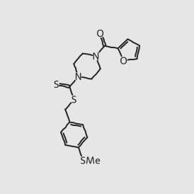 CSc1ccc(CSC(=S)N2CCN(C(=O)c3ccco3)CC2)cc1